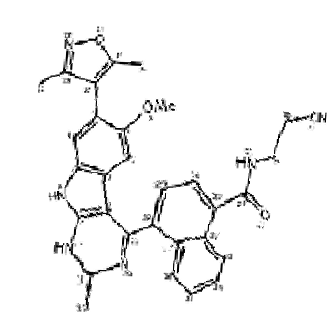 COc1cc2c3c([nH]c2cc1-c1c(C)noc1C)NC(C)N=C3c1ccc(C(=O)NCCC#N)c2ccccc12